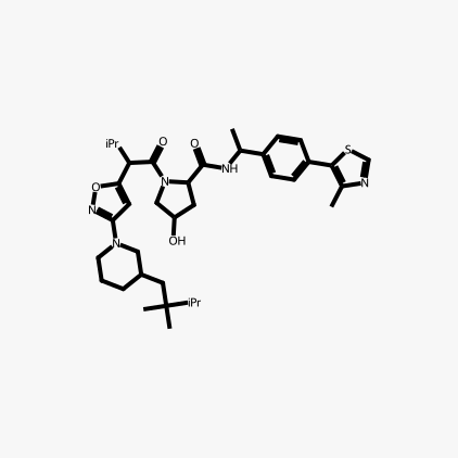 Cc1ncsc1-c1ccc(C(C)NC(=O)C2CC(O)CN2C(=O)C(c2cc(N3CCCC(CC(C)(C)C(C)C)C3)no2)C(C)C)cc1